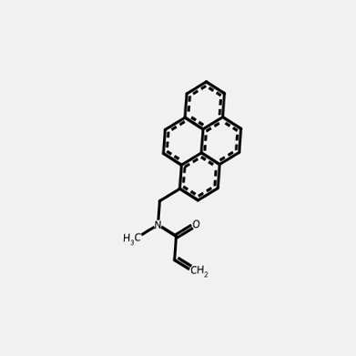 C=CC(=O)N(C)Cc1ccc2ccc3cccc4ccc1c2c34